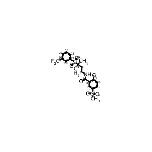 CC(C)(CCNC(=O)c1cc(S(C)(=O)=O)ccc1Cl)S(=O)(=O)c1cccc(C(F)(F)F)c1